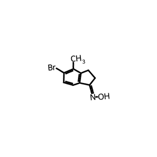 Cc1c(Br)ccc2c1CCC2=NO